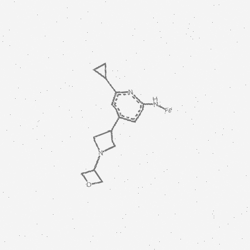 [Fe][NH]c1cc(C2CN(C3COC3)C2)cc(C2CC2)n1